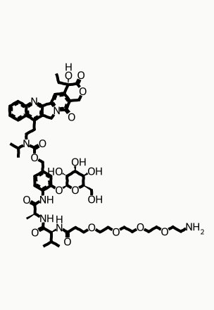 CC[C@@]1(O)C(=O)OCc2c1cc1n(c2=O)Cc2c-1nc1ccccc1c2CCN(C(=O)OCc1ccc(NC(=O)[C@H](C)NC(=O)[C@@H](NC(=O)CCOCCOCCOCCOCCN)C(C)C)c(O[C@@H]2O[C@H](CO)[C@H](O)[C@H](O)[C@H]2O)c1)C(C)C